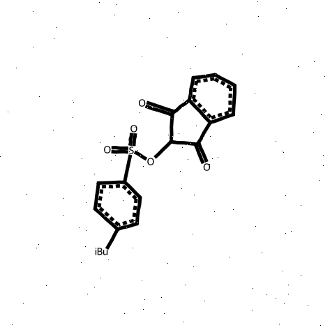 CCC(C)c1ccc(S(=O)(=O)OC2C(=O)c3ccccc3C2=O)cc1